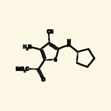 CCOC(=O)C(=O)c1sc(NC2CCCC2)c(C#N)c1N